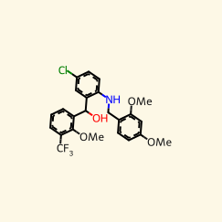 COc1ccc(CNc2ccc(Cl)cc2C(O)c2cccc(C(F)(F)F)c2OC)c(OC)c1